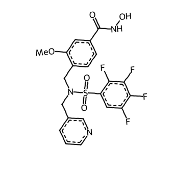 COc1cc(C(=O)NO)ccc1CN(Cc1cccnc1)S(=O)(=O)c1cc(F)c(F)c(F)c1F